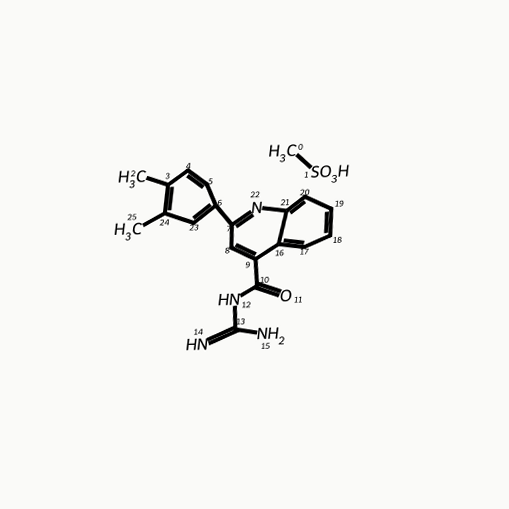 CS(=O)(=O)O.Cc1ccc(-c2cc(C(=O)NC(=N)N)c3ccccc3n2)cc1C